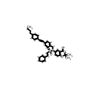 CCCCc1ccc(C#Cc2ccc(CN(c3ccc4c(c3)C(=O)OC(C)(C)O4)S(=O)(=O)C=Cc3ccccc3)cc2)cc1